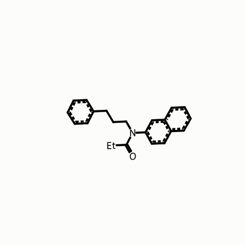 CCC(=O)N(CCCc1ccccc1)c1ccc2ccccc2c1